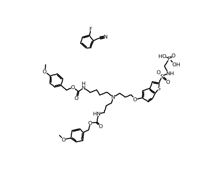 COc1ccc(COC(=O)NCCCCN(CCCNC(=O)OCc2ccc(OC)cc2)CCCOc2ccc3sc(S(=O)(=O)NCP(=O)(O)O)cc3c2)cc1.N#Cc1ccccc1F